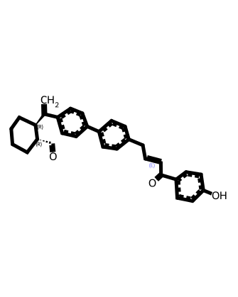 C=C(c1ccc(-c2ccc(C/C=C/C(=O)c3ccc(O)cc3)cc2)cc1)[C@@H]1CCCC[C@H]1C=O